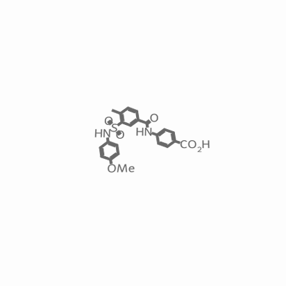 COc1ccc(NS(=O)(=O)c2cc(C(=O)Nc3ccc(C(=O)O)cc3)ccc2C)cc1